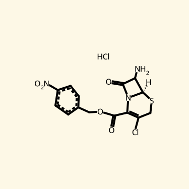 Cl.NC1C(=O)N2C(C(=O)OCc3ccc([N+](=O)[O-])cc3)=C(Cl)CS[C@H]12